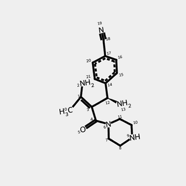 C/C(N)=C(\C(=O)N1CCNCC1)[C@H](N)c1ccc(C#N)cc1